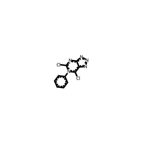 Clc1nc2nnnc-2c(Cl)n1-c1ccccc1